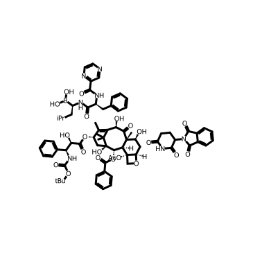 CC(=O)O[C@@]12CO[C@@H]1C[C@H](O)[C@@]1(C)C(=O)[C@H](O)C3=C(C)[C@@H](OC(=O)[C@H](O)[C@@H](NC(=O)OC(C)(C)C)c4ccccc4)C[C@@](O)([C@@H](OC(=O)c4ccccc4)[C@H]21)C3(C)C.CC(C)C[C@H](NC(=O)[C@H](Cc1ccccc1)NC(=O)c1cnccn1)B(O)O.O=C1CCC(N2C(=O)c3ccccc3C2=O)C(=O)N1